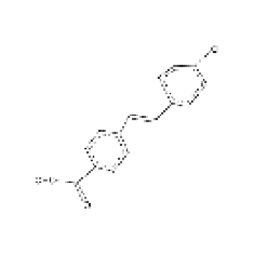 O=CC(=O)c1ccc(C=Cc2ccc(Cl)cc2)cc1